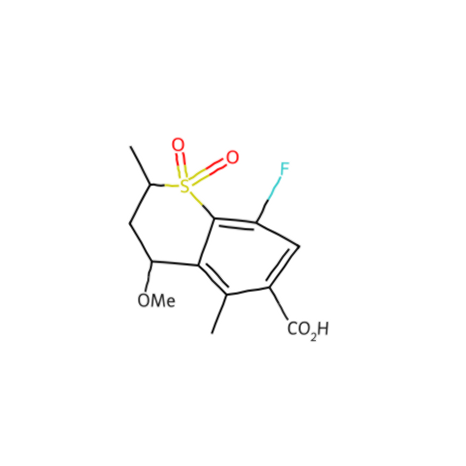 COC1CC(C)S(=O)(=O)c2c(F)cc(C(=O)O)c(C)c21